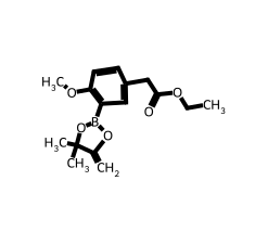 C=C1OB(c2cc(CC(=O)OCC)ccc2OC)OC1(C)C